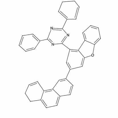 C1=CC(c2nc(-c3ccccc3)nc(-c3cc(-c4ccc5ccc6c(c5c4)C=CCC6)cc4oc5ccccc5c34)n2)=CCC1